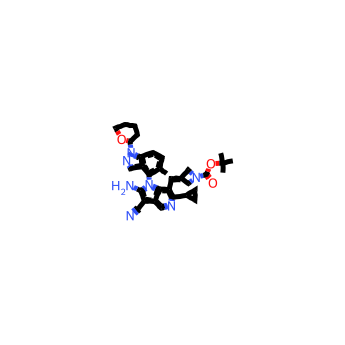 Cc1ccc2c(cnn2C2CCCCO2)c1-n1c(N)c(C#N)c2cnc(C3CC3)c(C=C3CN(C(=O)OC(C)(C)C)C3)c21